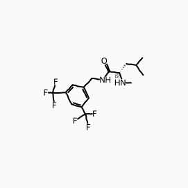 CN[C@@H](CC(C)C)C(=O)NCc1cc(C(F)(F)F)cc(C(F)(F)F)c1